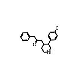 O=C(Cc1ccccc1)CC1CCNCC1c1ccc(Cl)cc1